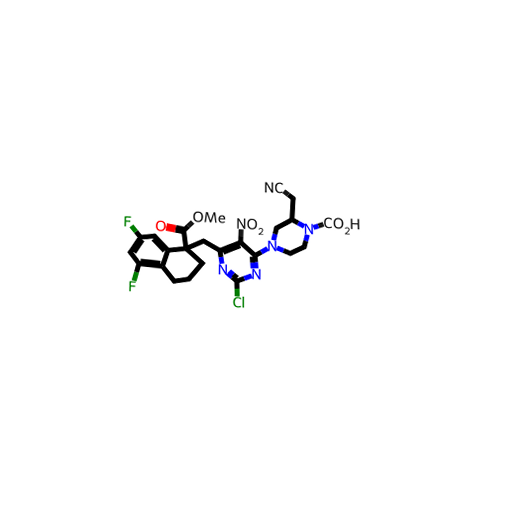 COC(=O)C1(Cc2nc(Cl)nc(N3CCN(C(=O)O)C(CC#N)C3)c2[N+](=O)[O-])CCCc2c(F)cc(F)cc21